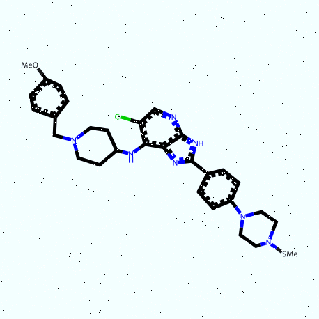 COc1ccc(CN2CCC(Nc3c(Cl)cnc4[nH]c(-c5ccc(N6CCN(SC)CC6)cc5)nc34)CC2)cc1